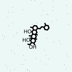 CC(O)C1C(C)CC2(C)CC3(C)CC4C(CCC5CCCCC5C)CCC(C)C4C(O)C3C(C)C2(C)C1O